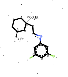 CCOC(=O)[C@H]1CCC[C@](CCNc2cc(F)cc(F)c2)(C(=O)OCC)C1